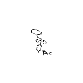 CC(=O)c1cccc(S(=O)(=O)C=Cc2ccccc2)c1